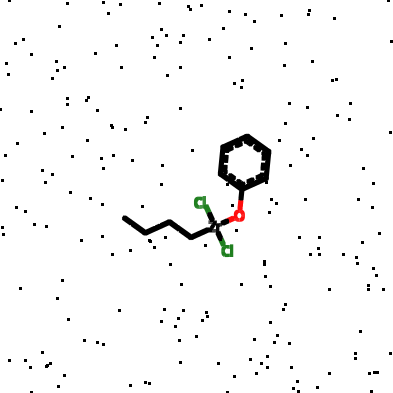 CCC[CH2][Zr]([Cl])([Cl])[O]c1ccccc1